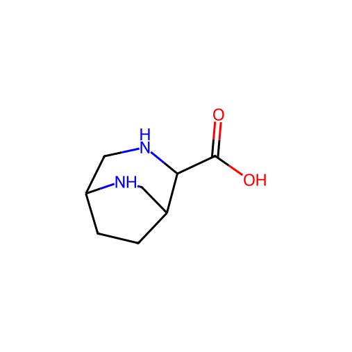 O=C(O)C1NCC2CCC1CN2